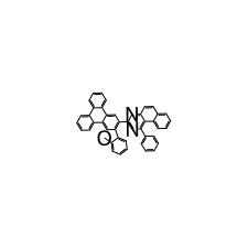 c1ccc(-c2nc(-c3cc4c5ccccc5c5ccccc5c4c4oc5ccccc5c34)nc3ccc4ccccc4c23)cc1